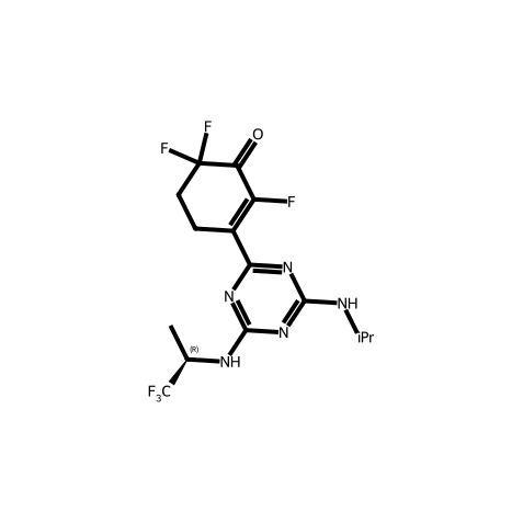 CC(C)Nc1nc(N[C@H](C)C(F)(F)F)nc(C2=C(F)C(=O)C(F)(F)CC2)n1